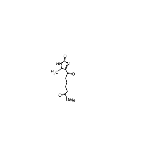 COC(=O)CCCCC(=O)C1=NC(=O)NC1C